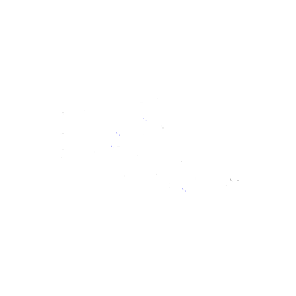 COCCNS(=O)(=O)c1ccc2c(c1)c(N1CCCC1)nn2Cc1ccccc1C(F)(F)F